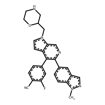 Cn1ncc2cc(-c3ncc4c(ccn4CC4CNCCO4)c3-c3ccc(C#N)c(F)c3)ccc21